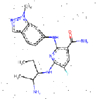 CCC(Nc1nc(Nc2ccc3cnn(C)c3c2)c(C(N)=O)cc1F)C(C)N